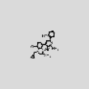 N#Cc1c(-c2ccc(Cl)c(N(CC(N)=O)CC3CC3)c2)cc(-c2ccccc2O)nc1N